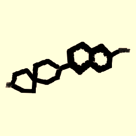 COc1ccc2cc(N3CCC4(CCNCC4)CC3)ccc2c1